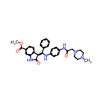 COC(=O)c1ccc2c(c1)NC(=O)/C2=C(\Nc1ccc(NC(=O)CN2CCN(C)CC2)cc1)c1ccccc1